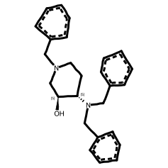 O[C@H]1CN(Cc2ccccc2)CC[C@@H]1N(Cc1ccccc1)Cc1ccccc1